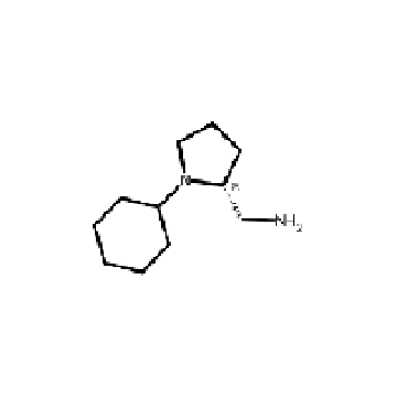 NC[C@H]1CCCN1C1CCCCC1